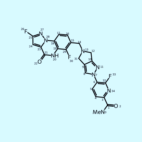 CNC(=O)c1ccc(-n2cc3c(n2)CN(Cc2ccc4c([nH]c(=O)c5cc(F)nn54)c2F)C3)c(F)n1